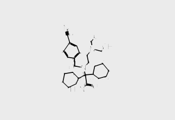 CCN(CC)CCN(C(=O)c1ccc(C#N)cc1)C(C(N)=O)(C1CCCCC1)C1CCCCC1